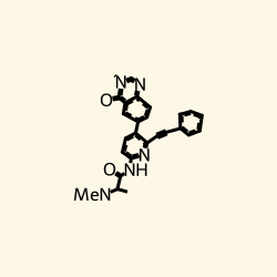 CNC(C)C(=O)Nc1ccc(-c2ccc3ncn(C)c(=O)c3c2)c(C#Cc2ccccc2)n1